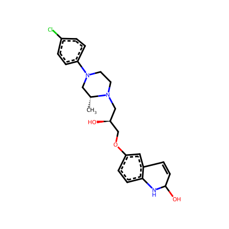 C[C@@H]1CN(c2ccc(Cl)cc2)CCN1C[C@H](O)COc1ccc2c(c1)C=CC(O)N2